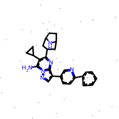 Nc1c(C2CC2)c(C2CC3CCC(C2)N3)nc2c(-c3ccc(-c4ccccc4)nc3)cnn12